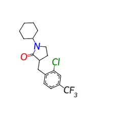 O=C1C(Cc2ccc(C(F)(F)F)cc2Cl)CCN1C1CCCCC1